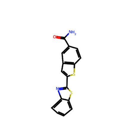 NC(=O)c1ccc2sc(-c3nc4ccccc4s3)cc2c1